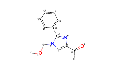 COCn1cc(C(C)=O)nc1-c1ccccc1